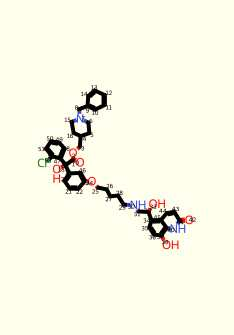 O=C(OCC1CCN(Cc2ccccc2)CC1)C(O)(c1cccc(OCCCCCNCC(O)c2ccc(O)c3[nH]c(=O)ccc23)c1)c1ccccc1Cl